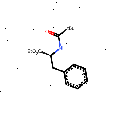 CCOC(=O)[C@H](Cc1ccccc1)NC(=O)C(C)(C)C